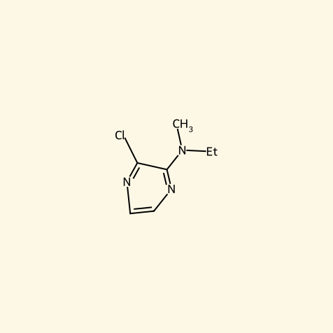 CCN(C)c1nccnc1Cl